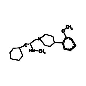 CN[C@H](CC1CCCCC1)CN1CCC(c2ccccc2OC)CC1